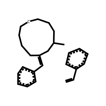 C=Cc1ccccc1.CC1CCCCCCCCC(=Cc2ccccc2)C1